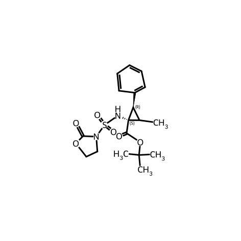 CC1[C@H](c2ccccc2)[C@]1(NS(=O)(=O)N1CCOC1=O)C(=O)OC(C)(C)C